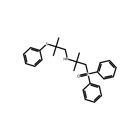 CC(C)(CP(=O)(c1ccccc1)c1ccccc1)NCC(C)(C)Sc1ccccc1